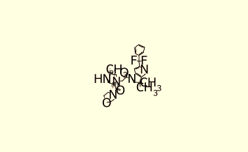 C[C@@H]1CN(CC(=O)N2CC(C)(C)c3cnc(C(F)(F)c4ccccc4)cc32)[C@@H](C(=O)N2CCOCC2)CN1